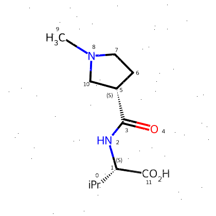 CC(C)[C@H](NC(=O)[C@H]1CCN(C)C1)C(=O)O